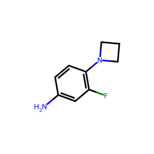 Nc1ccc(N2CCC2)c(F)c1